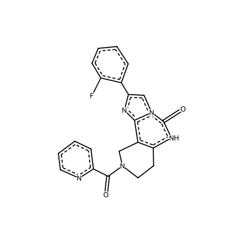 O=C(c1ccccn1)N1CCc2[nH]c(=O)n3cc(-c4ccccc4F)nc3c2C1